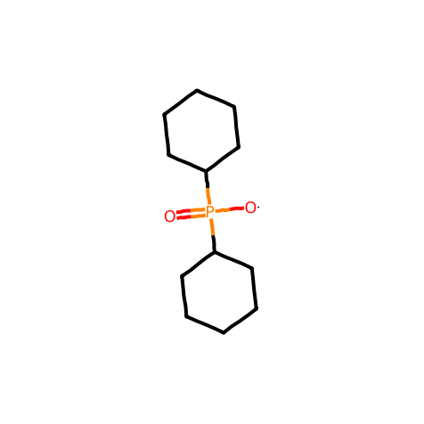 [O]P(=O)(C1CCCCC1)C1CCCCC1